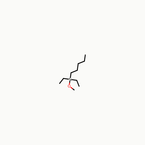 CCCCC[Si](CC)(CC)OC